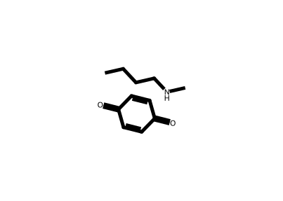 CCCCNC.O=C1C=CC(=O)C=C1